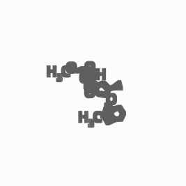 COCCS(=O)(=O)Nc1noc2cc(OCC34CCCC(CC(C)C3)C4)c(C3CC3)cc12